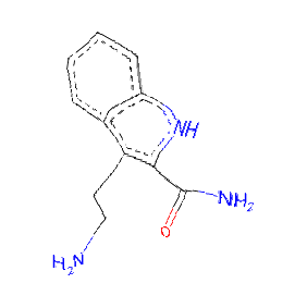 NCCc1c(C(N)=O)[nH]c2ccccc12